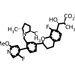 COc1cc(-c2ccc(C3CCc4ccc([C@H](O)[C@H](C)C(=O)O)c(F)c4O3)cc2CN2[C@H](C)CC[C@H]2C)c(F)cn1